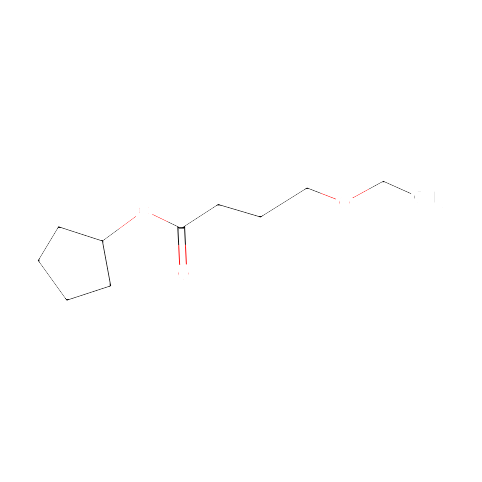 CCOCCCC(=O)OC1CCCC1